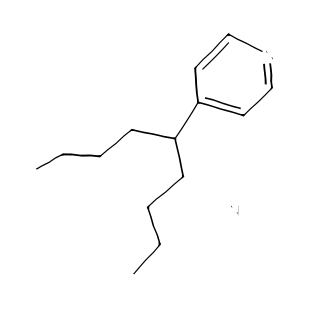 CCCCC(CCCC)c1ccncc1.[Ni]